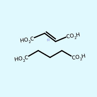 O=C(O)/C=C/C(=O)O.O=C(O)CCCC(=O)O